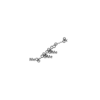 C=C(C)C(=O)OCCCCCCOc1ccc2cc(C(=O)Oc3ccc(C(=O)Oc4ccc(/C=C/C(=O)OC)cc4OC)cc3OC)ccc2c1